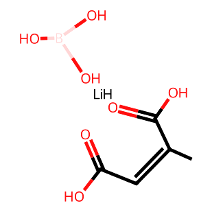 C/C(=C/C(=O)O)C(=O)O.OB(O)O.[LiH]